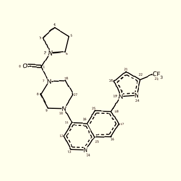 O=C(N1CCCC1)N1CCN(c2ccnc3ccc(-n4ccc(C(F)(F)F)n4)cc23)CC1